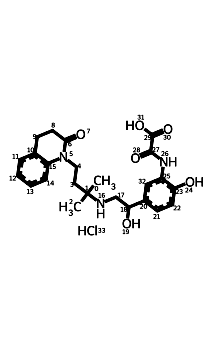 CC(C)(CCN1C(=O)CCc2ccccc21)NCC(O)c1ccc(O)c(NC(=O)C(=O)O)c1.Cl